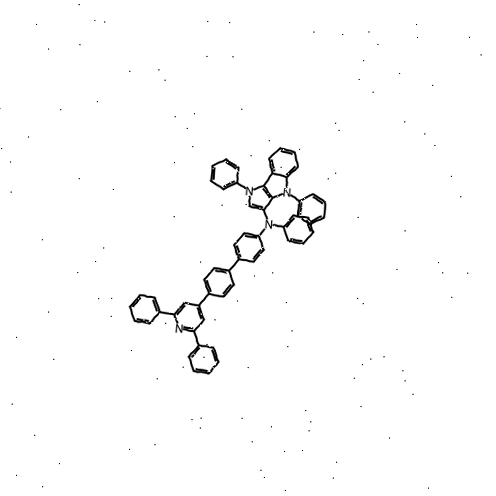 c1ccc(-c2cc(-c3ccc(-c4ccc(N(c5ccccc5)c5cn(-c6ccccc6)c6c7ccccc7n(-c7ccccc7)c56)cc4)cc3)cc(-c3ccccc3)n2)cc1